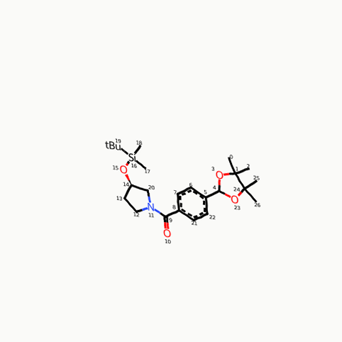 CC1(C)OC(c2ccc(C(=O)N3CC[C@@H](O[Si](C)(C)C(C)(C)C)C3)cc2)OC1(C)C